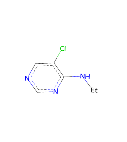 CCNc1ncncc1Cl